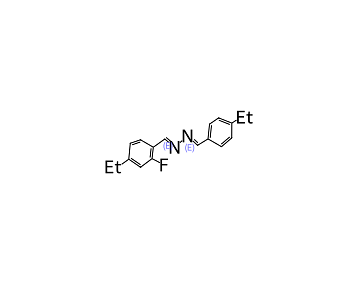 CCc1ccc(/C=N/N=C/c2ccc(CC)cc2F)cc1